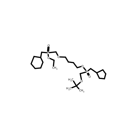 CCOP(=O)(COCCCCOP(=O)(COC(C)(C)C)CC1CCCC1)CC1CCCCC1